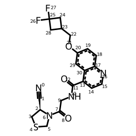 N#C[C@@H]1CSCN1C(=O)CNC(=O)c1ccnc2ccc(OCC3CC(F)(F)C3)cc12